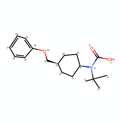 CC(C)(C)N(C(=O)O)[C@H]1CC[C@@H](COc2ccccc2)CC1